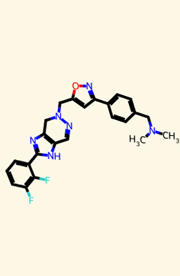 CN(C)Cc1ccc(-c2cc(CN3Cc4nc(-c5cccc(F)c5F)[nH]c4C=N3)on2)cc1